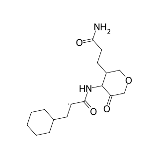 NC(=O)CCC1COCC(=O)C1NC(=O)[CH]CC1CCCCC1